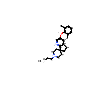 Cc1cccc(C)c1Oc1cnc2c(c1)CCC21CCN(CCC(=O)O)CC1